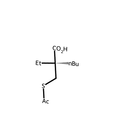 CCCC[C@@](CC)(CSC(C)=O)C(=O)O